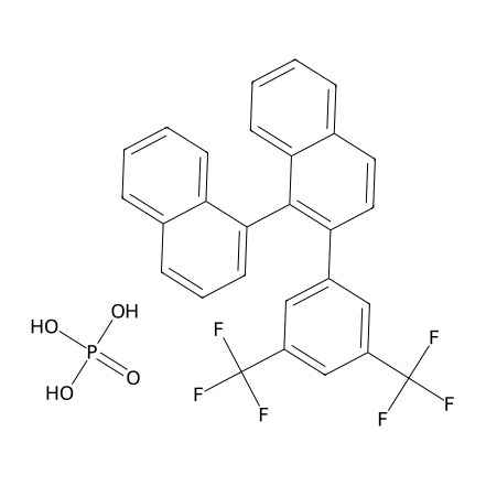 FC(F)(F)c1cc(-c2ccc3ccccc3c2-c2cccc3ccccc23)cc(C(F)(F)F)c1.O=P(O)(O)O